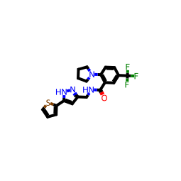 O=C(NCc1cc(-c2cccs2)[nH]n1)c1cc(C(F)(F)F)ccc1N1CCCC1